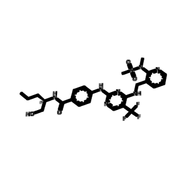 CCC[C@H](CO)NC(=O)c1ccc(Nc2ncc(C(F)(F)F)c(NCc3cccnc3N(C)S(C)(=O)=O)n2)cc1